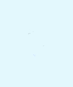 CC1(C)c2ccc3ccccc3c2-c2cccc(-c3c(-c4ccccc4)cccc3N(c3cccc4ccccc34)c3cccc4ccccc34)c21